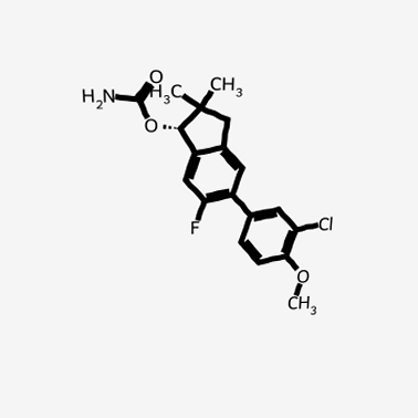 COc1ccc(-c2cc3c(cc2F)[C@H](OC(N)=O)C(C)(C)C3)cc1Cl